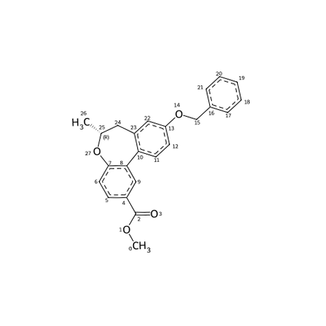 COC(=O)c1ccc2c(c1)-c1ccc(OCc3ccccc3)cc1C[C@@H](C)O2